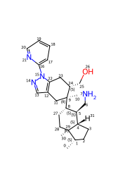 C[C@H]1CC[C@H]2[C@H](CN)[C@@H]([C@@]3(C)Cc4cnn(-c5ccccn5)c4C[C@@H]3CO)CC[C@]12C